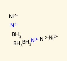 B.B.B.[N-3].[N-3].[Ni+2].[Ni+2].[Ni+2]